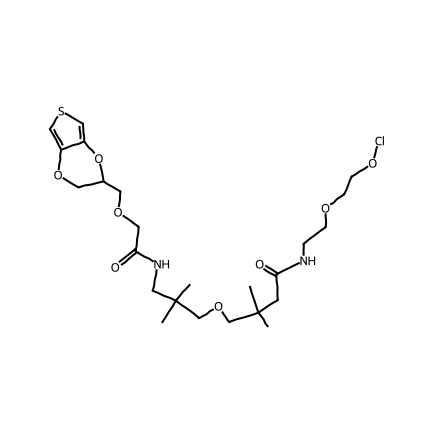 CC(C)(CNC(=O)COCC1COc2cscc2O1)COCC(C)(C)CC(=O)NCCOCCOCl